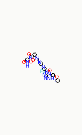 Nc1ncnc2c1n(-c1ccc(Oc3ccccc3)cc1)c(=O)n2[C@@H]1CCN(C2CCN(C3CN(c4cccc5c4C(=O)N(C4CCC(=O)NC4=O)C5=O)C3)CC2)CC1(F)F